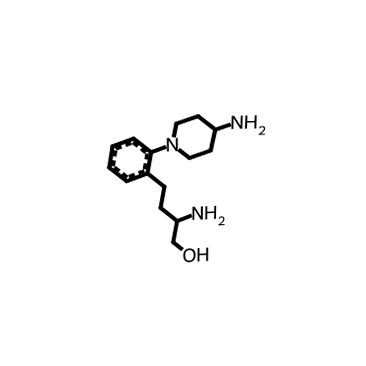 NC(CO)CCc1ccccc1N1CCC(N)CC1